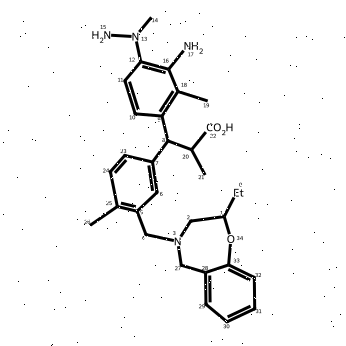 CCC1CN(Cc2cc(C(c3ccc(N(C)N)c(N)c3C)C(C)C(=O)O)ccc2C)Cc2ccccc2O1